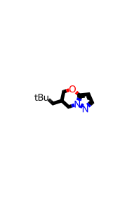 CC(C)(C)CC1COc2ccnn2C1